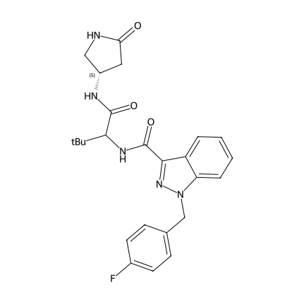 CC(C)(C)C(NC(=O)c1nn(Cc2ccc(F)cc2)c2ccccc12)C(=O)N[C@@H]1CNC(=O)C1